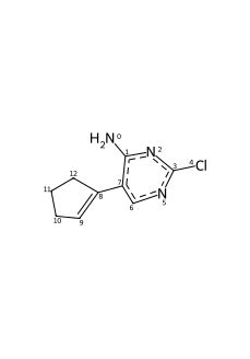 Nc1nc(Cl)ncc1C1=CCCC1